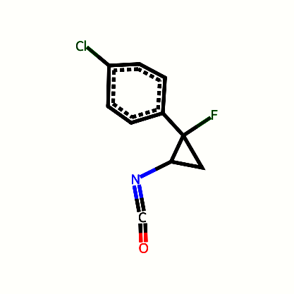 O=C=NC1CC1(F)c1ccc(Cl)cc1